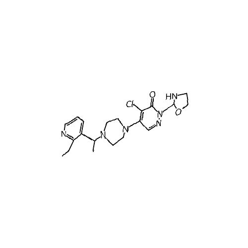 CCc1ncccc1C(C)N1CCN(c2cnn(C3NCCO3)c(=O)c2Cl)CC1